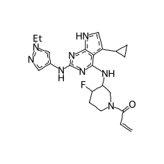 C=CC(=O)N1CCC(F)C(Nc2nc(Nc3cnn(CC)c3)nc3[nH]cc(C4CC4)c23)C1